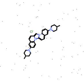 CC1CCN(c2ccc3c(ccc4c[n+]5c6ccc(N7CCC(C)CC7)cc6ccc5n43)c2)CC1.[Cl-]